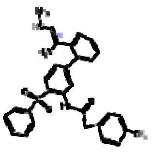 Cc1ccc(CC(=O)Nc2cc(-c3ccccc3/C(N)=N/NN)ccc2S(=O)(=O)c2ccccc2)cc1